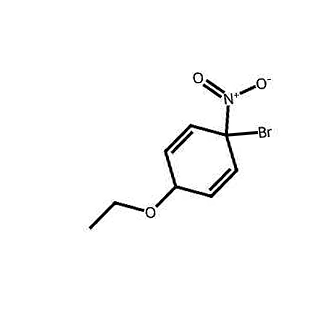 CCOC1C=CC(Br)([N+](=O)[O-])C=C1